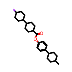 CC1CCC(c2ccc(OC(=O)C3CCC(C4CCC(I)CC4)CC3)cc2)CC1